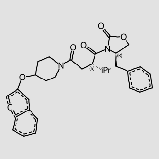 CC(C)[C@H](CC(=O)N1CCC(Oc2ccc3ccccc3c2)CC1)C(=O)N1C(=O)OC[C@H]1Cc1ccccc1